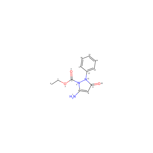 CCOC(=O)n1c(N)cc(=O)n1-c1ccccc1